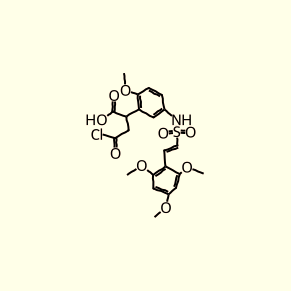 COc1cc(OC)c(C=CS(=O)(=O)Nc2ccc(OC)c(C(CC(=O)Cl)C(=O)O)c2)c(OC)c1